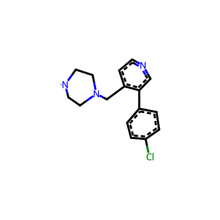 Clc1ccc(-c2cnccc2CN2CC[N]CC2)cc1